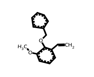 C=Cc1cccc(OC)c1OCc1ccccc1